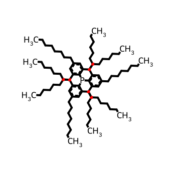 CCCCCCCCc1cc(CCCCCCCC)c(P(c2c(CCCCCCCC)cc(CCCCCCCC)cc2CCCCCCCC)c2c(CCCCCCCC)cc(CCCCCCCC)cc2CCCCCCCC)c(CCCCCCCC)c1